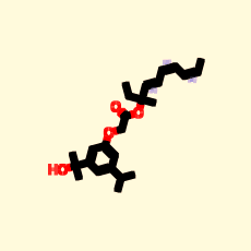 C\C=C/C=C\C=C\C(C)(CC)OC(=O)COc1cc(C(C)C)cc(C(C)(C)O)c1